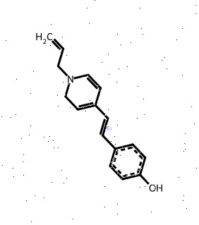 C=CCN1C=CC(/C=C/c2ccc(O)cc2)=CC1